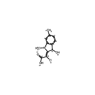 Cc1ccc2c(c1)N(C)C(=C(Cl)C(=O)O)C2O